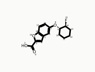 O=C(O)c1cc2cc(O[C@H]3CCCC[C@@H]3F)ccc2o1